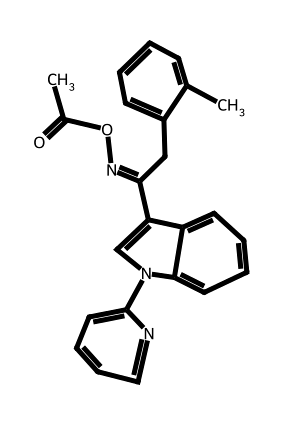 CC(=O)O/N=C(\Cc1ccccc1C)c1cn(-c2ccccn2)c2ccccc12